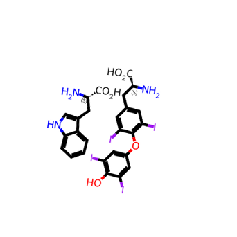 N[C@@H](Cc1c[nH]c2ccccc12)C(=O)O.N[C@@H](Cc1cc(I)c(Oc2cc(I)c(O)c(I)c2)c(I)c1)C(=O)O